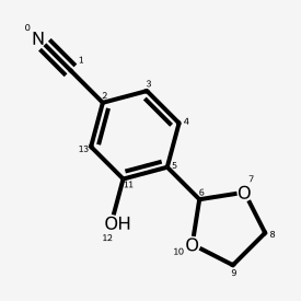 N#Cc1ccc(C2OCCO2)c(O)c1